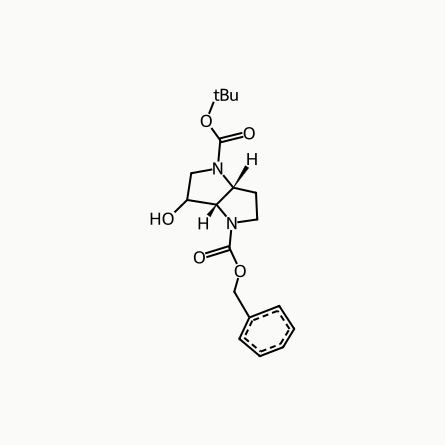 CC(C)(C)OC(=O)N1CC(O)[C@@H]2[C@H]1CCN2C(=O)OCc1ccccc1